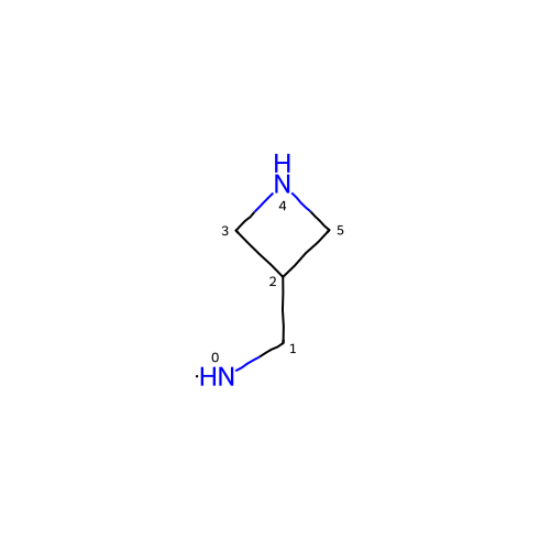 [NH]CC1CNC1